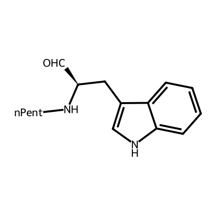 CCCCCN[C@@H](C=O)Cc1c[nH]c2ccccc12